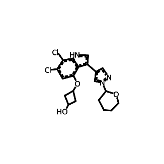 OC1CC(Oc2cc(Cl)c(Cl)c3[nH]cc(-c4cnn(C5CCCCO5)c4)c23)C1